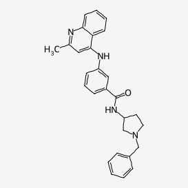 Cc1cc(Nc2cccc(C(=O)NC3CCN(Cc4ccccc4)C3)c2)c2ccccc2n1